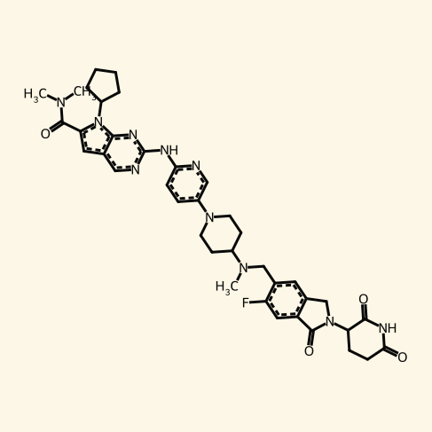 CN(C)C(=O)c1cc2cnc(Nc3ccc(N4CCC(N(C)Cc5cc6c(cc5F)C(=O)N(C5CCC(=O)NC5=O)C6)CC4)cn3)nc2n1C1CCCC1